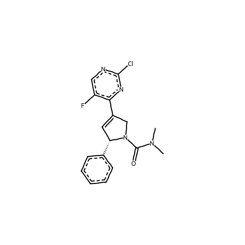 CN(C)C(=O)N1CC(c2nc(Cl)ncc2F)=C[C@H]1c1ccccc1